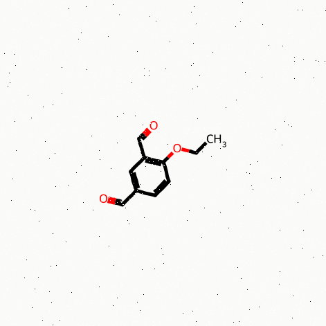 CCOc1ccc(C=O)cc1C=O